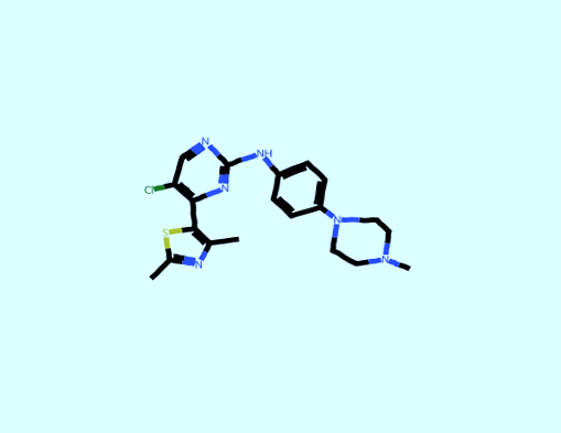 Cc1nc(C)c(-c2nc(Nc3ccc(N4CCN(C)CC4)cc3)ncc2Cl)s1